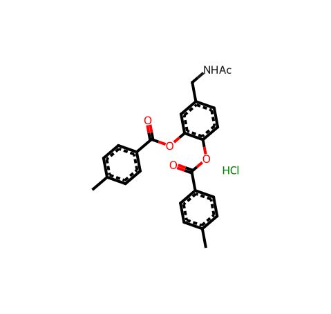 CC(=O)NCc1ccc(OC(=O)c2ccc(C)cc2)c(OC(=O)c2ccc(C)cc2)c1.Cl